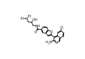 CCN(CC)CC(O)CNC(=O)c1ccc2oc(-c3c(N)ncc4ccc(Cl)cc34)cc2c1